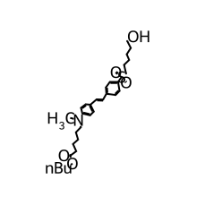 CCCCOC(=O)CCCCCN(C)c1ccc(/C=C/c2ccc(S(=O)(=O)CCCCCCO)cc2)cc1